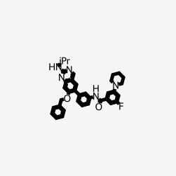 CC(C)Nc1ncc2cc(-c3cccc(NC(=O)c4cc(F)cc(N5CCCCC5)c4)c3)c(OCc3ccccc3)cc2n1